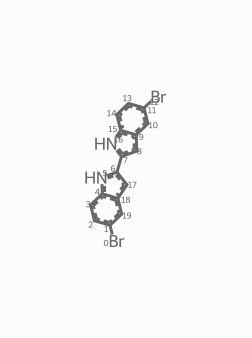 Brc1ccc2[nH]c(-c3cc4cc(Br)ccc4[nH]3)cc2c1